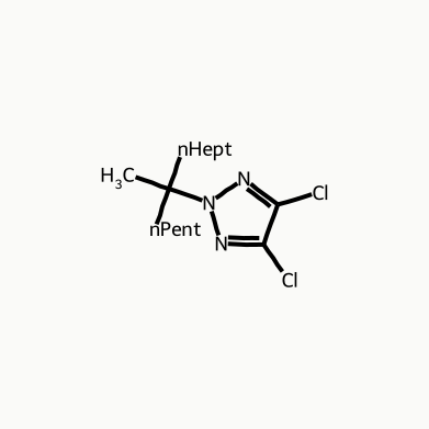 CCCCCCCC(C)(CCCCC)n1nc(Cl)c(Cl)n1